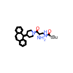 CC(C)(C)C(=O)NC[C@H](N)C(=O)N1CCC(=C2c3ccccc3C=Cc3ccccc32)CC1